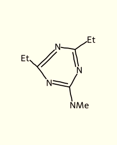 CCc1nc(CC)nc(NC)n1